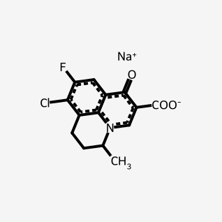 CC1CCc2c(Cl)c(F)cc3c(=O)c(C(=O)[O-])cn1c23.[Na+]